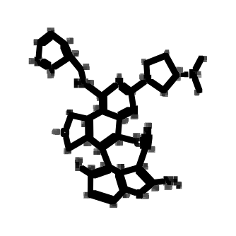 CN(C)[C@H]1CCN(c2nc(NCc3cccnn3)c3c4c(c(-c5c(F)ccc6sc(N)c(C#N)c56)c(Cl)c3n2)COC4)C1